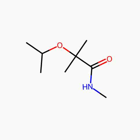 CNC(=O)C(C)(C)OC(C)C